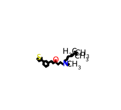 CCN(CC=CC#CC(C)(C)C)CCCC(=O)C=Cc1cccc(-c2ccsc2)c1